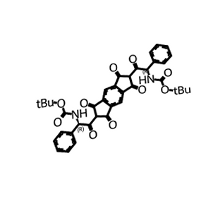 CC(C)(C)OC(=O)N[C@@H](C(=O)C1C(=O)c2cc3c(cc2C1=O)C(=O)C(C(=O)[C@H](NC(=O)OC(C)(C)C)c1ccccc1)C3=O)c1ccccc1